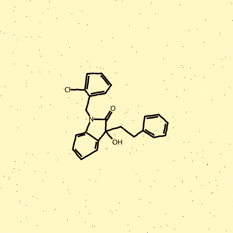 O=C1N(Cc2ccccc2Cl)c2ccccc2C1(O)CCc1ccccc1